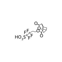 O=C(OCCC(F)(F)C(F)(F)S(=O)(=O)O)C1C2CC3OC(=O)C1C3C2